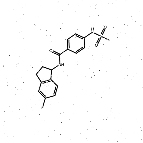 CS(=O)(=O)Nc1ccc(C(=O)NC2CCc3cc(F)ccc32)cc1